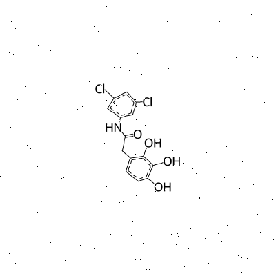 O=C(Cc1ccc(O)c(O)c1O)Nc1cc(Cl)cc(Cl)c1